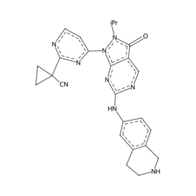 CC(C)n1c(=O)c2cnc(Nc3ccc4c(c3)CCNC4)nc2n1-c1ccnc(C2(C#N)CC2)n1